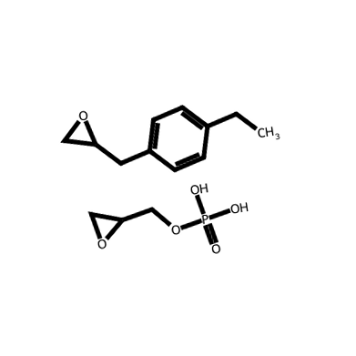 CCc1ccc(CC2CO2)cc1.O=P(O)(O)OCC1CO1